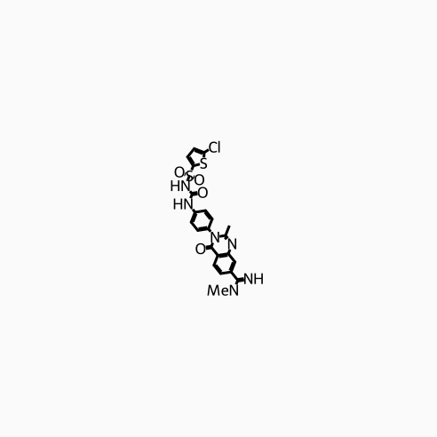 CNC(=N)c1ccc2c(=O)n(-c3ccc(NC(=O)NS(=O)(=O)c4ccc(Cl)s4)cc3)c(C)nc2c1